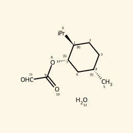 CC(C)[C@H]1CC[C@H](C)C[C@@H]1OC(=O)C=O.O